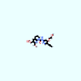 CC#Cc1cnc(NC(=O)N2CCCc3cc(CO)c(C=O)nc32)cc1OCCOC